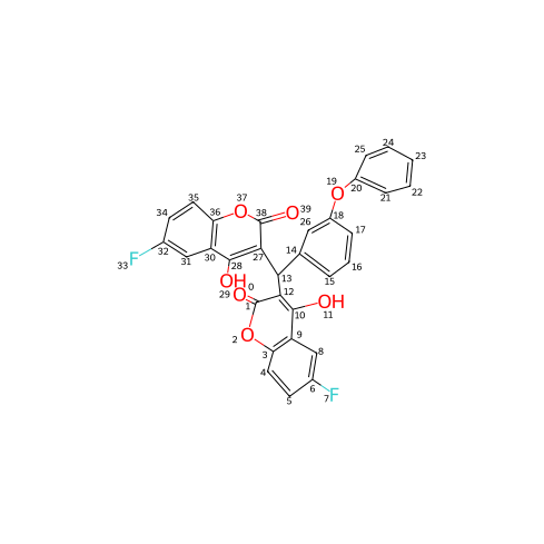 O=c1oc2ccc(F)cc2c(O)c1C(c1cccc(Oc2ccccc2)c1)c1c(O)c2cc(F)ccc2oc1=O